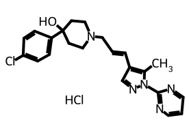 Cc1c(/C=C/CN2CCC(O)(c3ccc(Cl)cc3)CC2)cnn1-c1ncccn1.Cl